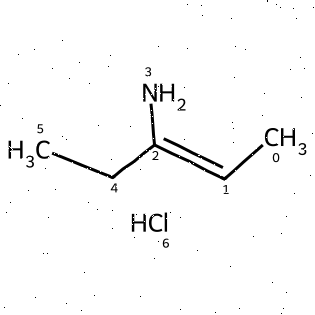 C/C=C(\N)CC.Cl